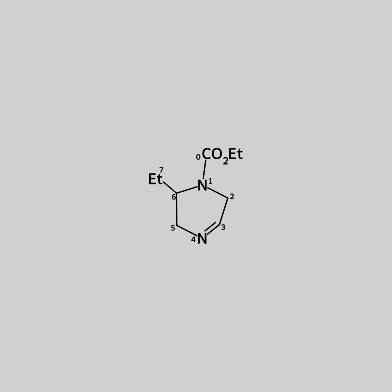 CCOC(=O)N1CC=NCC1CC